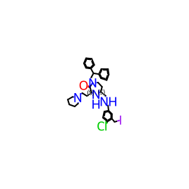 O=C1[C@H](CCN2CCCCC2)N[C@H](CNCc2ccc(Cl)c(CI)c2)CCN1CC(c1ccccc1)c1ccccc1